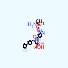 C[C@@H](N)C(=O)OCOn1nnc2ccc(C(=O)N[C@H](Cc3ccc(-c4cccc(Cl)c4)cc3)C[C@@H](O)C(=O)O)cc21